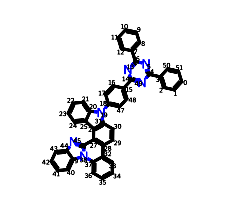 c1ccc(-c2nc(-c3ccccc3)nc(-c3ccc(-n4c5ccccc5c5c6c(ccc54)c4ccccc4n4c5ccccc5nc64)cc3)n2)cc1